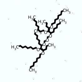 CCCCCCCCOC(CCC)=C(OCCCCCCCC)C(CCCCCC)OCOCOC(CCCCCC)C(OCCCCCCCC)=C(CCC)OCCCCCCCC